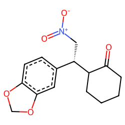 O=C1CCCCC1[C@@H](C[N+](=O)[O-])c1ccc2c(c1)OCO2